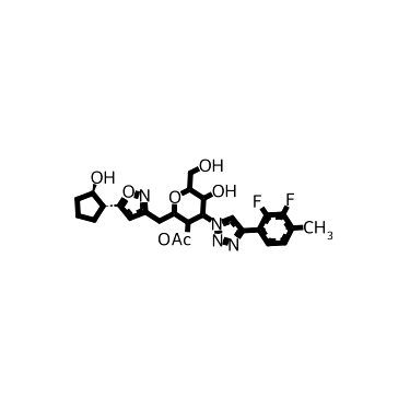 CC(=O)OC1C(Cc2cc([C@@H]3CCC[C@H]3O)on2)OC(CO)C(O)C1n1cc(-c2ccc(C)c(F)c2F)nn1